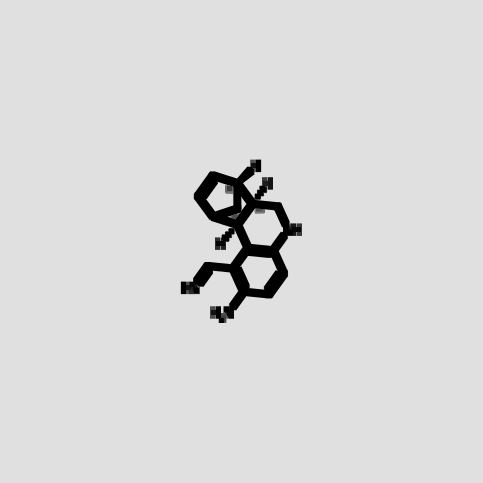 N=Cc1c(N)ccc2c1[C@H]1C3C=C[C@@H](C3)[C@H]1CN2